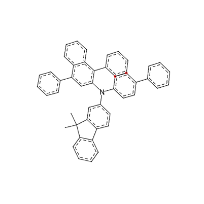 CC1(C)c2ccccc2-c2ccc(N(c3ccc(-c4ccccc4)cc3)c3cc(-c4ccccc4)c4ccccc4c3-c3ccccc3)cc21